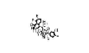 CC(c1c[nH]c(=O)c2c(F)c(F)ccc12)N(C(=O)Nc1ccc(F)c(Cl)c1)C(C)S(N)(=O)=O